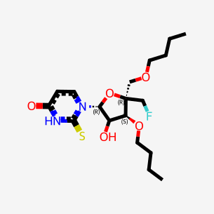 CCCCOC[C@@]1(CF)O[C@@H](n2ccc(=O)[nH]c2=S)C(O)[C@@H]1OCCCC